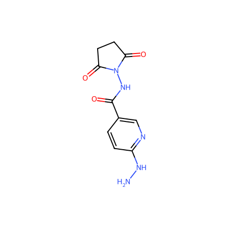 NNc1ccc(C(=O)NN2C(=O)CCC2=O)cn1